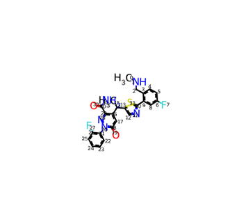 CNCc1ccc(F)cc1-c1ncc(C(C)c2cc(=O)n(-c3ccccc3F)nc2C(N)=O)s1